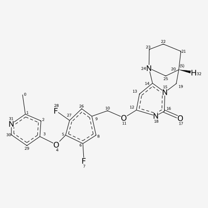 Cc1cc(Oc2c(F)cc(COc3cc4n(c(=O)n3)C[C@H]3CCCN4C3)cc2F)ccn1